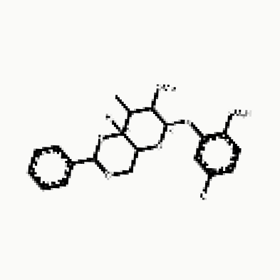 COC1C(C)[C@H]2OC(c3ccccc3)OCC2O[C@@H]1Sc1cc(Cl)ccc1C(=O)O